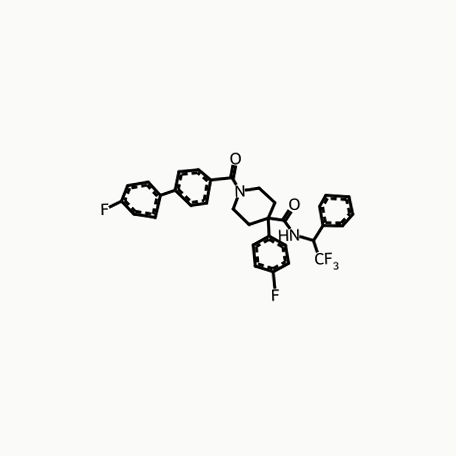 O=C(c1ccc(-c2ccc(F)cc2)cc1)N1CCC(C(=O)NC(c2ccccc2)C(F)(F)F)(c2ccc(F)cc2)CC1